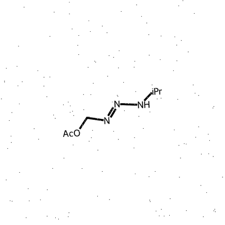 CC(=O)OCN=NNC(C)C